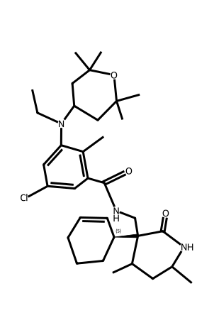 CCN(c1cc(Cl)cc(C(=O)NCC2([C@@H]3C=CCCC3)C(=O)NC(C)CC2C)c1C)C1CC(C)(C)OC(C)(C)C1